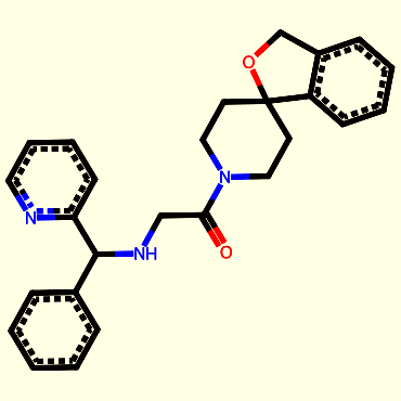 O=C(CNC(c1ccccc1)c1ccccn1)N1CCC2(CC1)OCc1ccccc12